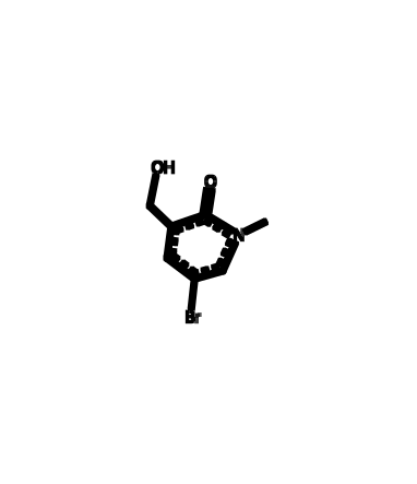 Cn1cc(Br)cc(CO)c1=O